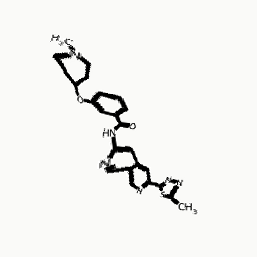 Cc1nnc(-c2cc3cc(NC(=O)c4cccc(OC5CCN(C)CC5)c4)ncc3cn2)s1